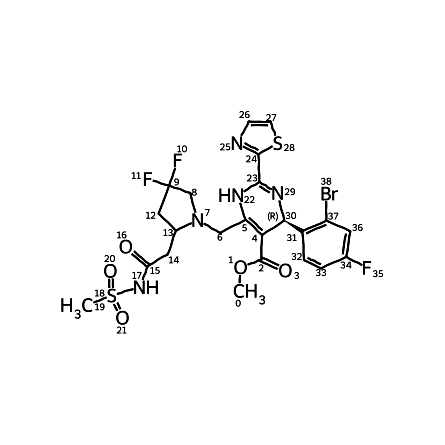 COC(=O)C1=C(CN2CC(F)(F)CC2CC(=O)NS(C)(=O)=O)NC(c2nccs2)=N[C@H]1c1ccc(F)cc1Br